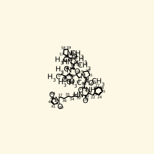 CCC(=O)[C@H]([C@@H](CCN1CCC[C@H]1[C@H](OC)[C@@H](C)C(=O)N[C@@H](Cc1ccccc1)C(=O)NCCCCCCN1C(=O)C=CC1=O)OC)N(C)C(=O)[C@@H](NC(=O)[C@]1(C)CCCN1C)C(C)C